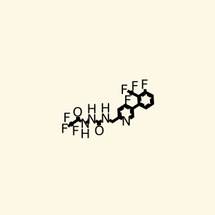 O=C(NCc1ccc(-c2cccc(F)c2C(F)(F)F)cn1)NNC(=O)C(F)(F)F